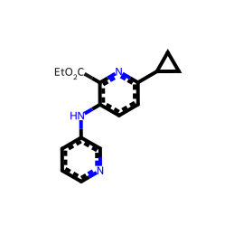 CCOC(=O)c1nc(C2CC2)ccc1Nc1cccnc1